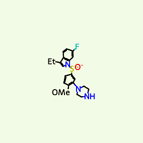 CCc1cn([S+]([O-])c2ccc(OC)c(N3CCNCC3)c2)c2cc(F)ccc12